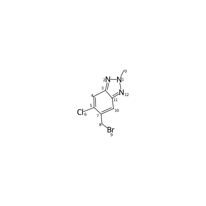 Cn1nc2cc(Cl)c(CBr)cc2n1